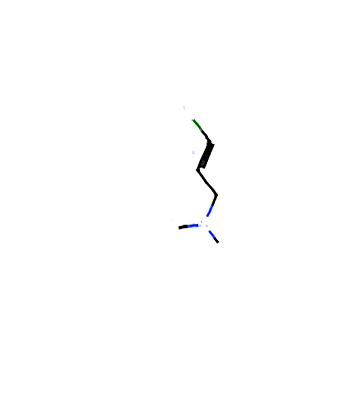 CN(C)C/C=C/Cl